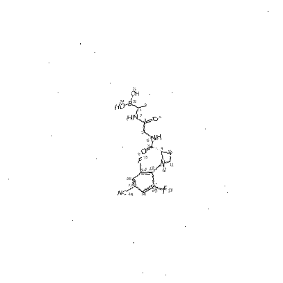 CC(NC(=O)CNC(=O)[C@@H]1CCN1c1c(F)cc(C#N)cc1F)B(O)O